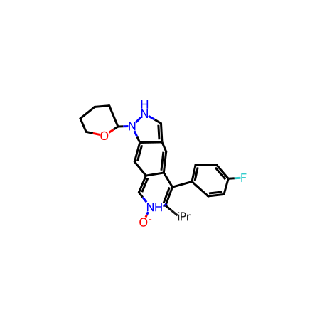 CC(C)C1=C(c2ccc(F)cc2)c2cc3c(cc2=C[NH+]1[O-])N(C1CCCCO1)NC=3